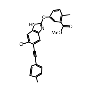 COC(=O)c1cc(Oc2nc3cc(C#Cc4ccc(C)cc4)c(Cl)cc3[nH]2)ccc1C